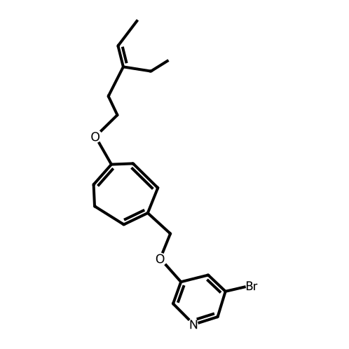 C/C=C(\CC)CCOC1=CCC=C(COc2cncc(Br)c2)C=C1